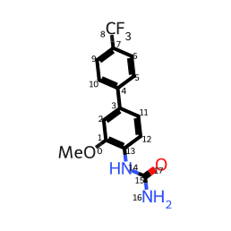 COc1cc(-c2ccc(C(F)(F)F)cc2)ccc1NC(N)=O